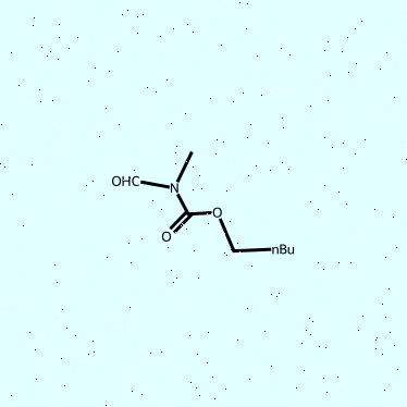 CCCCCOC(=O)N(C)C=O